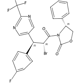 O=C1OC[C@@H](c2ccccc2)N1C(=O)[C@H](Br)[C@@H](c1ccc(F)cc1)c1cnc(C(F)(F)F)nc1